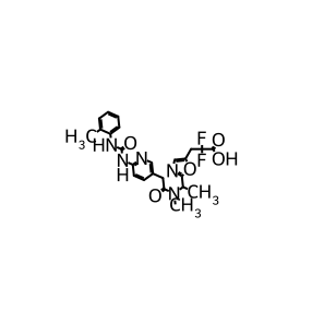 Cc1ccccc1NC(=O)Nc1ccc(CC(=O)N(C)C(C)c2ncc(CC(F)(F)C(=O)O)o2)cn1